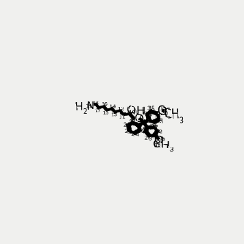 COc1ccc(C(OCC(O)CCCCCCCCN)(c2ccccc2)c2ccc(OC)cc2)cc1